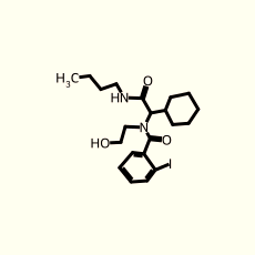 CCCCNC(=O)C(C1CCCCC1)N(CCO)C(=O)c1ccccc1I